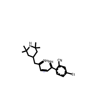 CCc1ccc(C(=N)/C=C\C(=N)CC2CC(C)(C)NC(C)(C)C2)c(C#N)c1